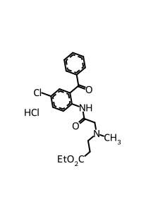 CCOC(=O)CCN(C)CC(=O)Nc1ccc(Cl)cc1C(=O)c1ccccc1.Cl